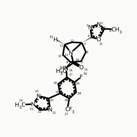 Cc1nnc([C@@]23CC[C@@H](C)C[C@@H](C2)N3C(=O)Nc2cc(-c3ncn(C)n3)c(C(F)(F)F)cc2F)o1